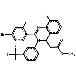 COC(=O)CC1c2cccc(F)c2N=C(c2ccc(Br)cc2F)N1c1cccc(C(F)(F)F)c1